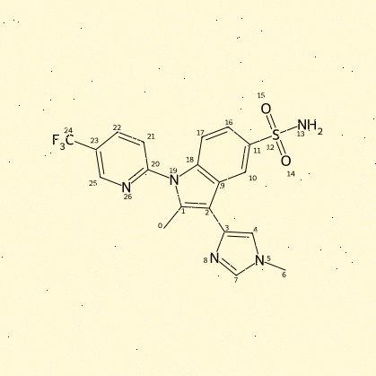 Cc1c(-c2cn(C)cn2)c2cc(S(N)(=O)=O)ccc2n1-c1ccc(C(F)(F)F)cn1